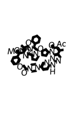 CNC(C)C(=O)N[C@H](C(=O)N1CCCC1c1nc(C(=O)c2cccc(OCC(=O)N3CCN(c4ccc(Nc5ncc6c(C)c(C(C)=O)c(=O)n(C7CCCC7)c6n5)nc4)CC3)c2)cs1)C1CCCCC1